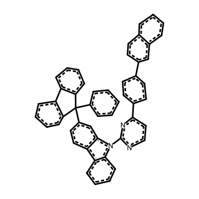 c1ccc(C2(c3ccc4c5ccccc5n(-c5nccc(-c6ccc(-c7ccc8ccccc8c7)cc6)n5)c4c3)c3ccccc3-c3ccccc32)cc1